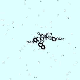 CNc1ccc(C[C@H]2C(=O)N(Cc3cccc4ccccc34)C[C@H]3N2C(=O)CN3N(CC#N)C(=O)NCC2=CCC(OC)C=C2)cc1